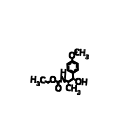 CCOC(=O)N[C@@H](C)[C@H](O)c1ccc(OC)cc1